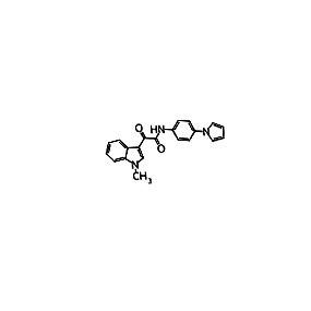 Cn1cc(C(=O)C(=O)Nc2ccc(-n3cccc3)cc2)c2ccccc21